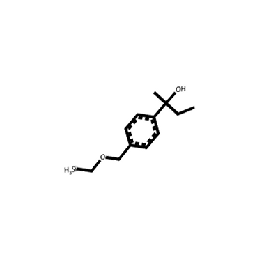 CCC(C)(O)c1ccc(COC[SiH3])cc1